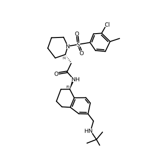 Cc1ccc(S(=O)(=O)N2CCCC[C@H]2CC(=O)N[C@@H]2CCCc3cc(CNC(C)(C)C)ccc32)cc1Cl